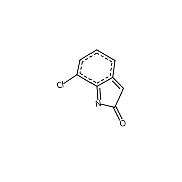 O=C1C=c2cccc(Cl)c2=N1